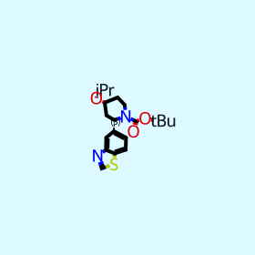 CC(C)OC1CCN(C(=O)OC(C)(C)C)[C@H](c2ccc3scnc3c2)C1